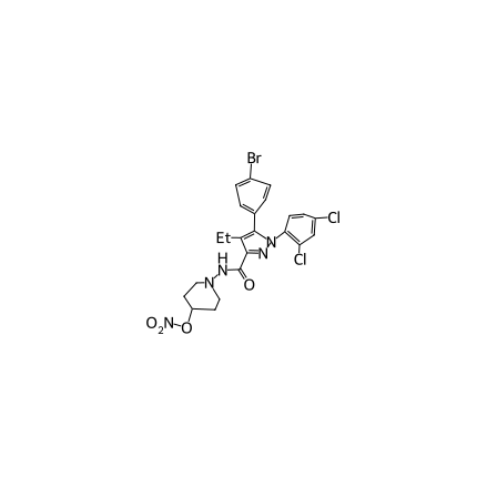 CCc1c(C(=O)NN2CCC(O[N+](=O)[O-])CC2)nn(-c2ccc(Cl)cc2Cl)c1-c1ccc(Br)cc1